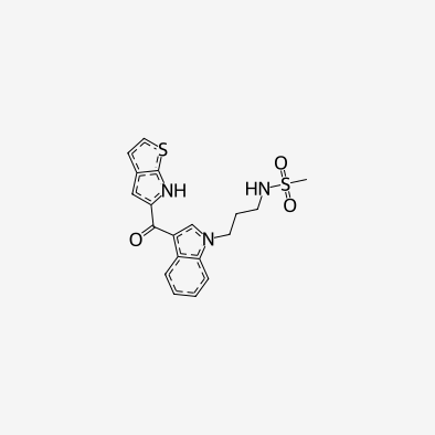 CS(=O)(=O)NCCCn1cc(C(=O)c2cc3ccsc3[nH]2)c2ccccc21